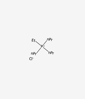 CCC[P+](CC)(CCC)CCC.[Cl-]